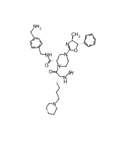 CC(C)N[C@H](CCCCN1CCCCC1)C(=O)N1CCN(C2=N[C@@H](C)[C@H](c3ccccc3)O2)C[C@H]1C(=O)NCc1ccc(CN)cc1